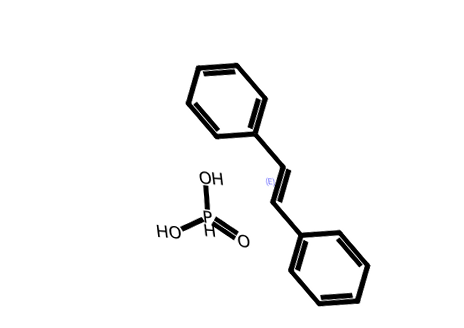 C(=C\c1ccccc1)/c1ccccc1.O=[PH](O)O